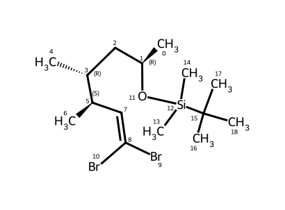 C[C@H](C[C@@H](C)[C@H](C)C=C(Br)Br)O[Si](C)(C)C(C)(C)C